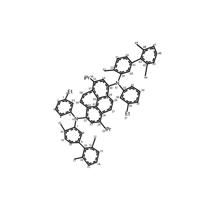 CCc1cccc(N(c2cc(-c3c(C)cccc3C)ccc2C)c2cc(C(C)C)c3ccc4c(N(c5cccc(CC)c5)c5cc(-c6c(C)cccc6C)ccc5C)cc(C(C)C)c5ccc2c3c54)c1